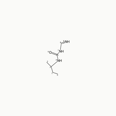 CCC(C)NC(=O)NC=N